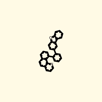 c1ccc(-c2cccc3ccc4cccnc4c23)c(-c2ccc3oc4ccccc4c3c2)c1